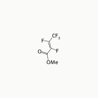 COC(=O)/C(F)=C(\F)C(F)(F)F